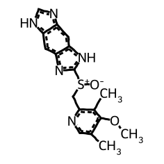 COc1c(C)cnc(C[S+]([O-])c2nc3cc4[nH]cnc4cc3[nH]2)c1C